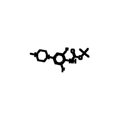 CN1CCN(c2cc(F)c(NC(=O)OC(C)(C)C)c(F)c2)CC1